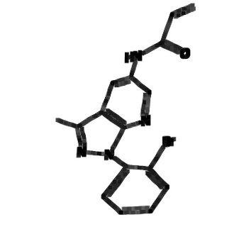 C=CC(=O)Nc1cnc2c(c1)c(C)nn2-c1ccccc1Br